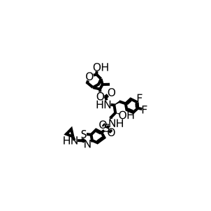 CC1C2CC(COC2O)C1OC(=O)N[C@@H](Cc1ccc(F)c(F)c1)[C@H](O)CNS(=O)(=O)C1=CC2SC(NC3CC3)=NC2C=C1